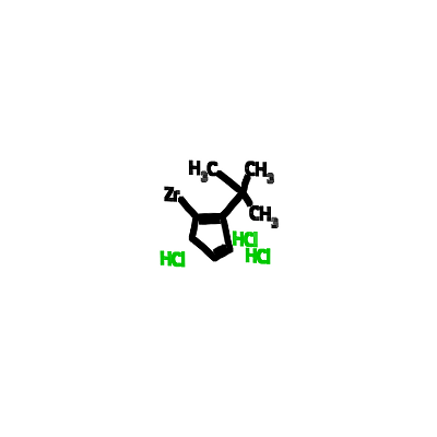 CC(C)(C)C1=[C]([Zr])CC=C1.Cl.Cl.Cl